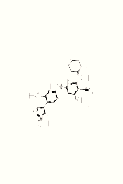 Cn1cc(-c2ccc(Nc3cc(N)c(C#N)c(NC4CCCCC4)n3)cc2O)cn1